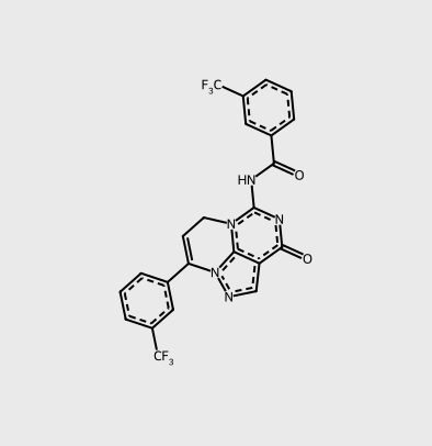 O=C(Nc1nc(=O)c2cnn3c2n1CC=C3c1cccc(C(F)(F)F)c1)c1cccc(C(F)(F)F)c1